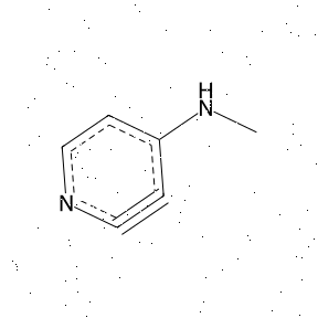 CNc1c#cncc1